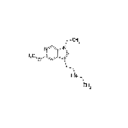 CCNCCc1cn(CC)c2cnc(OC)cc12